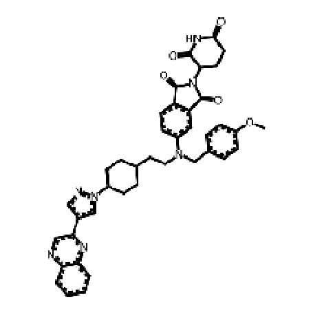 COc1ccc(CN(CCC2CCC(n3cc(-c4cnc5ccccc5n4)cn3)CC2)c2ccc3c(c2)C(=O)N(C2CCC(=O)NC2=O)C3=O)cc1